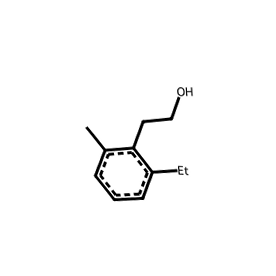 CCc1cccc(C)c1CCO